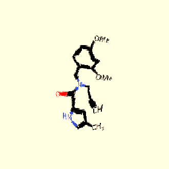 C#CCN(Cc1ccc(OC)cc1OC)C(=O)c1cc(C)c[nH]1